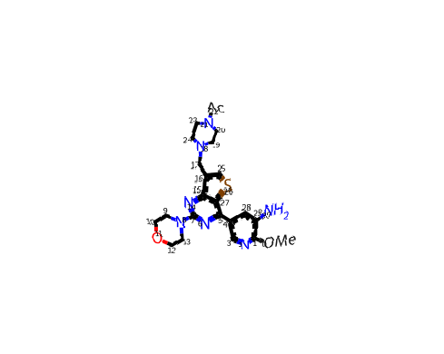 COc1ncc(-c2nc(N3CCOCC3)nc3c(CN4CCN(C(C)=O)CC4)csc23)cc1N